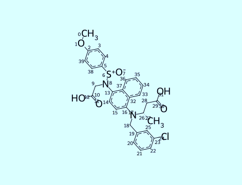 COc1ccc([S+]([O-])N(CC(=O)O)c2ccc(N(Cc3cccc(Cl)c3)[C@@H](C)CC(=O)O)c3ccccc23)cc1